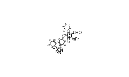 CCCc1c(C=O)n(C2CCCCC2)c(=O)n1Cc1ccc(-c2ccccc2)c(-c2nnn[nH]2)c1